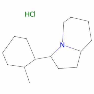 CC1CCCCC1C1CCC2CCCCN21.Cl